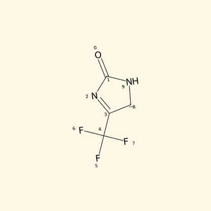 O=C1N=C(C(F)(F)F)[C]N1